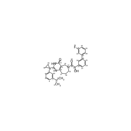 CC(C)c1cccc(C2(c3nc4c(c(=O)[nH]3)CN(C(=O)C(O)c3cccc(-c5cccc(F)c5)c3)CCC4)CC2)c1